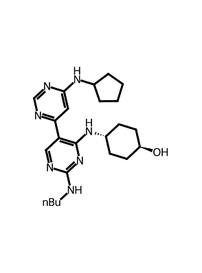 CCCCNc1ncc(-c2cc(NC3CCCC3)ncn2)c(N[C@H]2CC[C@H](O)CC2)n1